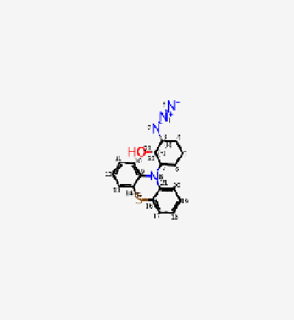 [N-]=[N+]=N[C@@H]1CCCC(N2c3ccccc3Sc3ccccc32)[C@H]1O